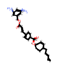 C=CCCCC1CCC(OC(=O)c2ccc(/C=C/C(=O)OCc3cc(N)cc(N)c3)cc2)CC1